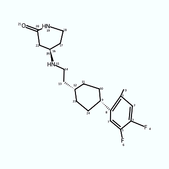 Cc1cc(F)c(F)cc1[C@H]1CC[C@@H](CCN[C@@H]2CCNC(=O)C2)CC1